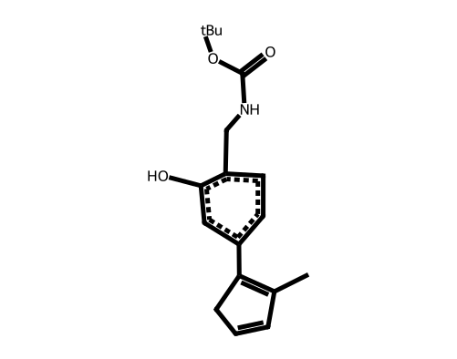 CC1=C(c2ccc(CNC(=O)OC(C)(C)C)c(O)c2)CC=C1